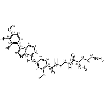 CCc1cc(Nc2nccn3c(-c4ccc(OC)c(F)c4F)cnc23)ccc1C(=O)NCCNC(=O)C(N)CCCN